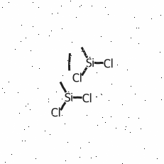 CC.C[Si](Cl)Cl.C[Si](Cl)Cl